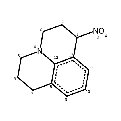 O=[N+]([O-])C1CCN2CCCc3cccc1c32